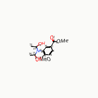 COC(=O)c1ccc(OC)c(N(C(C)O)C(C)O)c1